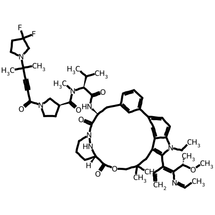 C=C/C(=C(\N=C/C)[C@H](C)OC)c1c2c3cc(ccc3n1CC)-c1cccc(c1)C[C@H](NC(=O)[C@H](C(C)C)N(C)C(=O)[C@H]1CCN(C(=O)C#CC(C)(C)N3CCC(F)(F)C3)C1)C(=O)N1CCC[C@H](N1)C(=O)OCC(C)(C)C2